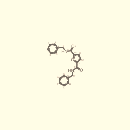 O=C(NCc1ccccc1)c1ccc(C(=O)NCc2ccccc2)o1